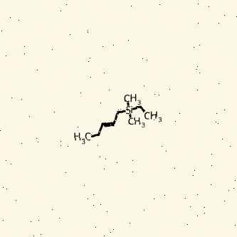 CC/C=C/C[Si](C)(C)CC